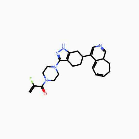 C=C(F)C(=O)N1CCN(c2n[nH]c3c2CCC(C2=CN=CC4CCC=CC=C24)C3)CC1